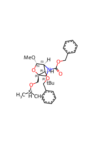 CO[C@H]1O[C@]2(CO[SiH](C)C)[C@H](OCc3ccccc3)[C@@H]1N(C(=O)OCc1ccccc1)[C@@H]2C(C)(C)C